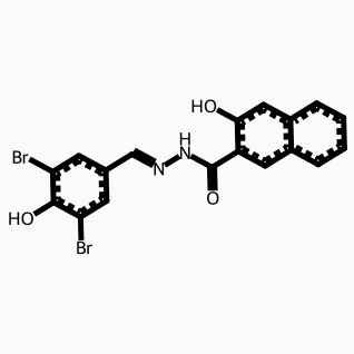 O=C(NN=Cc1cc(Br)c(O)c(Br)c1)c1cc2ccccc2cc1O